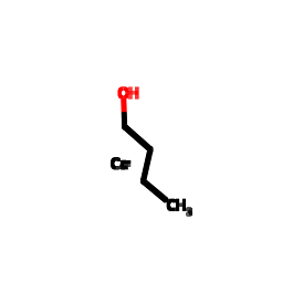 CCCCO.[Ca]